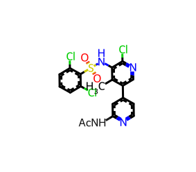 CC(=O)Nc1cc(-c2cnc(Cl)c(NS(=O)(=O)c3c(Cl)cccc3Cl)c2C)ccn1